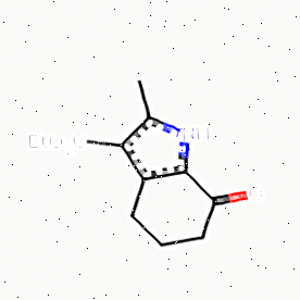 CCOC(=O)c1c(C)[nH]c2c1CCCC2=O